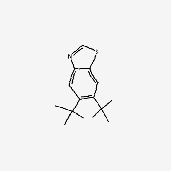 CC(C)(C)c1cc2ncsc2cc1C(C)(C)C